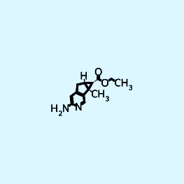 CCOC(=O)[C@H]1[C@@H]2Cc3cc(N)ncc3[C@@]21C